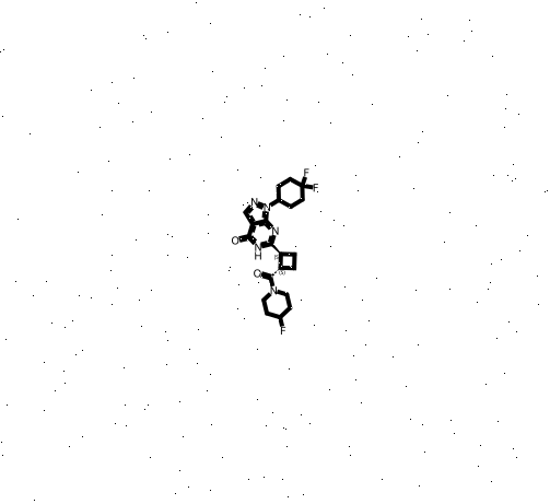 O=C([C@H]1CC[C@@H]1c1nc2c(cnn2C2CCC(F)(F)CC2)c(=O)[nH]1)N1CCC(F)CC1